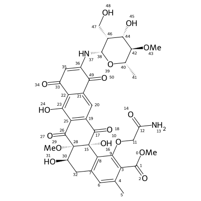 COC(=O)c1c(C)cc2c(c1OCC(N)=O)[C@]1(O)C(=O)c3cc4c(c(O)c3C(=O)[C@]1(OC)[C@H](O)C2)C(=O)C=C(N[C@H]1O[C@@H](C)[C@H](OC)[C@@H](O)[C@H]1CO)C4=O